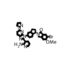 COc1cc2c(cc1Br)C(=O)N([C@H]1CCc3cc(-n4c(-c5cccnc5N)nc5ccc(-n6cccn6)nc54)ccc31)C2